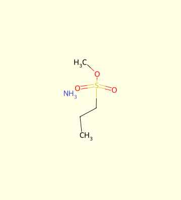 CCCS(=O)(=O)OC.N